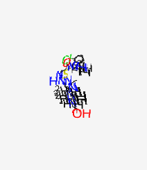 [2H]C([2H])([2H])c1cccc(Cl)c1NC(=O)c1cnc(Nc2cc(N3C([2H])([2H])C([2H])([2H])N(CCO)C([2H])([2H])C3([2H])[2H])nc(C)n2)s1